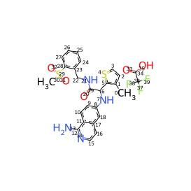 Cc1ccsc1C(Nc1ccc2c(N)nccc2c1)C(=O)NCc1ccccc1S(C)(=O)=O.O=C(O)C(F)(F)F